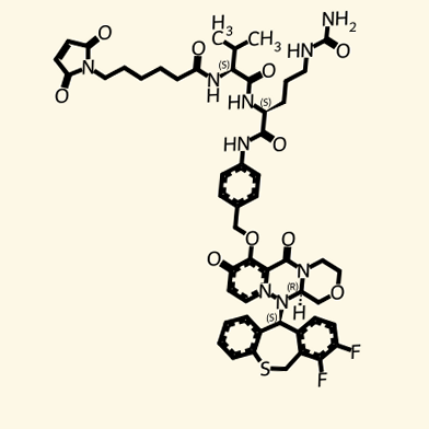 CC(C)[C@H](NC(=O)CCCCCN1C(=O)C=CC1=O)C(=O)N[C@@H](CCCNC(N)=O)C(=O)Nc1ccc(COc2c3n(ccc2=O)N([C@@H]2c4ccccc4SCc4c2ccc(F)c4F)[C@@H]2COCCN2C3=O)cc1